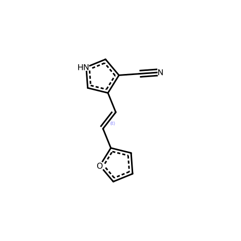 N#Cc1c[nH]cc1/C=C/c1ccco1